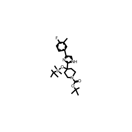 Cc1cc(-c2c[nH]c(C3(O[Si](C)(C)C(C)(C)C)CCN(C(=O)OC(C)(C)C)CC3)n2)ccc1F